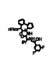 CCCCCCC1C(=O)N(NC(=O)[C@@H](NC[C@@H](O)c2cc(F)cc(F)c2)C(C)C)c2ccccc2-c2ccccc21